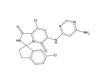 Nc1cc(Nc2cc(Cl)c3n(c2=O)C2(CCc4ccc(Cl)cc42)NC3=O)ncn1